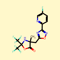 CC1(Cc2nc(-c3ccc(F)cn3)no2)NC(C(F)(F)F)(C(F)(F)F)OC1=O